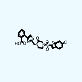 O=C(O)c1ccccc1-c1csc(CN2CCN(S(=O)(=O)c3cc4ccc(Cl)cc4s3)CC2=O)n1